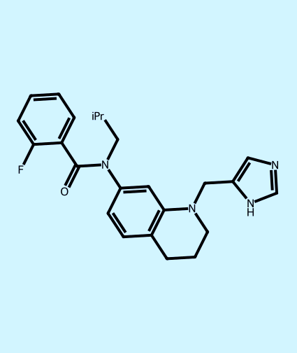 CC(C)CN(C(=O)c1ccccc1F)c1ccc2c(c1)N(Cc1cnc[nH]1)CCC2